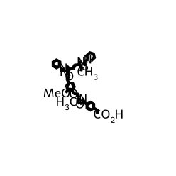 COc1cc(COc2nn(-c3ccccc3)cc2/C=C/c2nc(N3CCCCC3)sc2C)ccc1OCc1nc(-c2ccc(CC(=O)O)cc2)oc1C